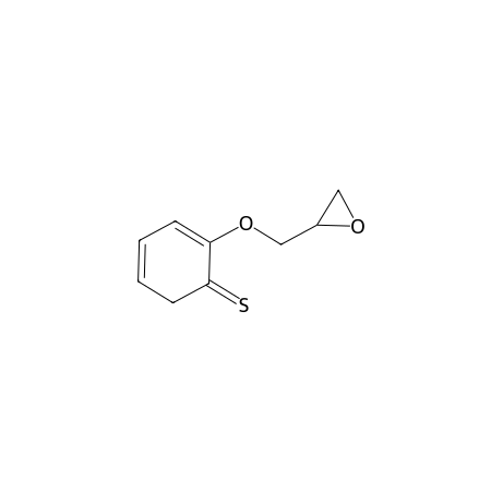 S=C1CC=CC=C1OCC1CO1